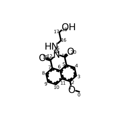 COc1ccc2c3c(cccc13)C(=O)N(NCCO)C2=O